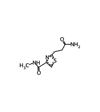 CNC(=O)c1csc([CH]CC(N)=O)n1